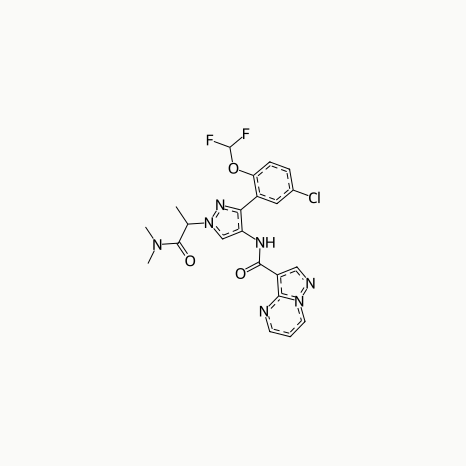 CC(C(=O)N(C)C)n1cc(NC(=O)c2cnn3cccnc23)c(-c2cc(Cl)ccc2OC(F)F)n1